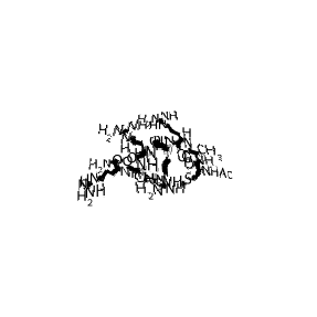 CC(=O)NCSC[C@@H](NC(C)=O)C(=O)N[C@H](C)C(=O)N[C@H](CCCNC(=N)N)C(=O)N[C@H](CCCNC(=N)N)C(=O)N[C@H](CCCNC(=N)N)C(=O)N[C@H](C)C(=O)NC(CCCNC(=N)N)C(N)=O